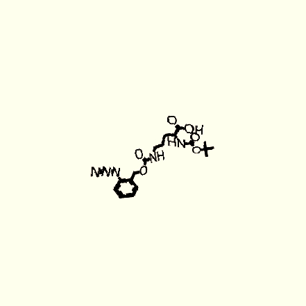 CC(C)(C)OC(=O)NC(CCCNC(=O)OCc1ccccc1N=[N+]=[N-])C(=O)O